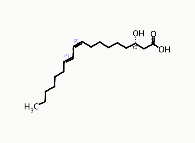 CCCCCC/C=C/C=C\CCCCC[C@H](O)CC(=O)O